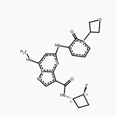 CNc1cc(Nc2cccn(C3COC3)c2=O)nc2c(C(=O)N[C@H]3CC[C@@H]3F)cnn12